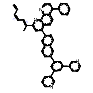 C=C/C=C\C=C(/C)c1cc(-c2ccc3cc(-c4cc(-c5cccnc5)cc(-c5cccnc5)c4)ccc3c2)c2ccc3c(-c4ccccc4)ccnc3c2n1